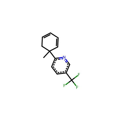 CC1(c2ccc(C(F)(F)F)cn2)C=CC=CC1